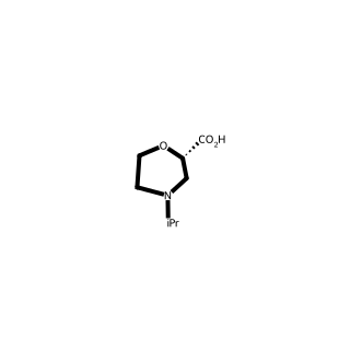 CC(C)N1CCO[C@H](C(=O)O)C1